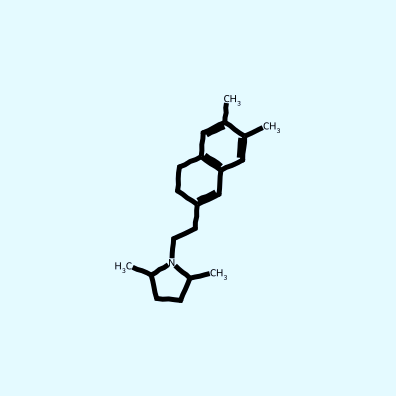 Cc1cc2c(cc1C)CCC(CCN1C(C)CCC1C)=C2